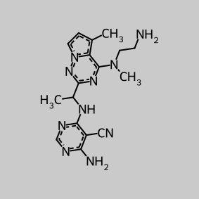 Cc1ccn2nc(C(C)Nc3ncnc(N)c3C#N)nc(N(C)CCN)c12